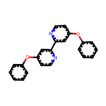 c1ccc(Oc2ccnc(-c3cc(Oc4ccccc4)ccn3)c2)cc1